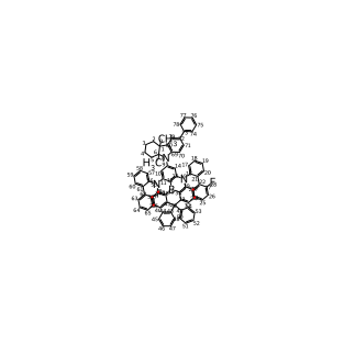 CC12CCCCC1(C)N(c1cc3c4c(c1)N(c1ccccc1-c1ccccc1F)c1cccc5c1B4c1c(cccc1C5(c1ccccc1)c1ccccc1)N3c1ccccc1-c1ccccc1F)c1ccc(-c3ccccc3)cc12